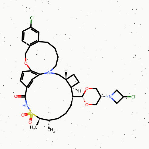 C[C@@H]1[C@@H](C)CCC[C@H]([C@H]2OC[C@@H](N3CC(Cl)C3)CO2)[C@@H]2CC[C@H]2CN2CCCCc3cc(Cl)ccc3COc3ccc(cc32)C(=O)NS1(=O)=O